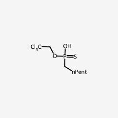 CCCCCCP(O)(=S)OCC(Cl)(Cl)Cl